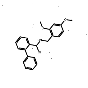 COc1ccc(CNC(O)c2ccccc2-c2ccccc2)c(OC)c1